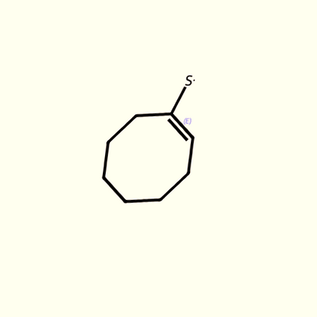 [S]/C1=C/CCCCCC1